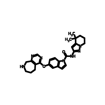 CC1(C)CCCn2nc(NC(=O)n3ccc4cc(Oc5ncnc6c5CCCNC6)ccc43)cc21